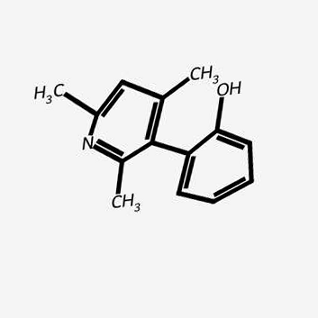 Cc1cc(C)c(-c2ccccc2O)c(C)n1